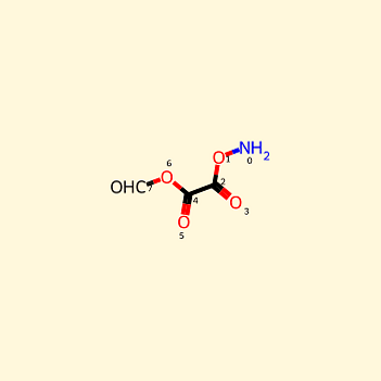 NOC(=O)C(=O)OC=O